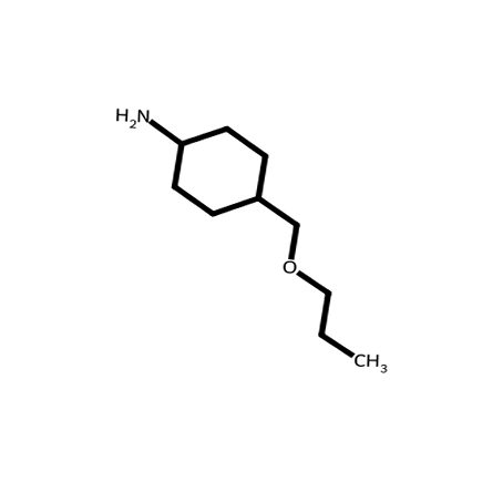 CCCOCC1CCC(N)CC1